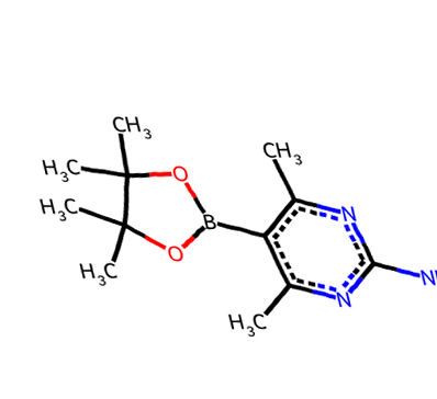 Cc1nc(N)nc(C)c1B1OC(C)(C)C(C)(C)O1